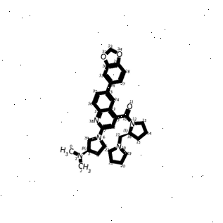 CN(C)[C@@H]1CCN(c2cc(C(=O)N3CCC[C@H]3CN3CCCC3)c3cc(-c4ccc5c(c4)OCO5)ccc3n2)C1